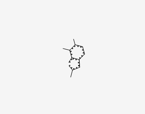 Cc1cc2ccc(F)c(Cl)c2s1